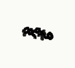 N#Cc1cc2c(nc1N1CCC(C(=O)NS(=O)(=O)Cc3ccccc3)C1)CCOC2=O